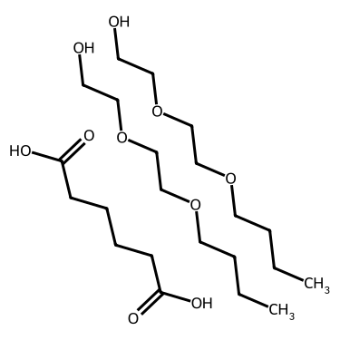 CCCCOCCOCCO.CCCCOCCOCCO.O=C(O)CCCCC(=O)O